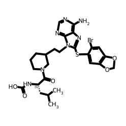 CC(C)C[C@H](NC(=O)O)C(=O)N1CCCC(CCn2c(Sc3cc4c(cc3Br)OCO4)nc3c(N)ncnc32)C1